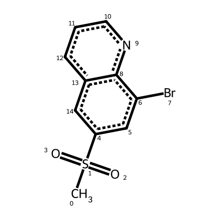 CS(=O)(=O)c1cc(Br)c2ncccc2c1